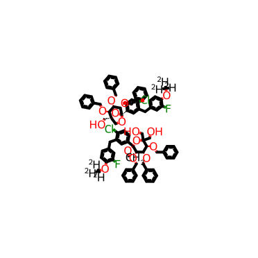 [2H]C([2H])([2H])Oc1ccc(Cc2cc([C@]3(OC)OC(CO)(CO)[C@@H](OCc4ccccc4)[C@H](OCc4ccccc4)[C@H]3OCc3ccccc3)ccc2Cl)cc1F.[2H]C([2H])([2H])Oc1ccc(Cc2cc([C@]34OC[C@](CO)(O3)[C@@H](OCc3ccccc3)[C@H](OCc3ccccc3)[C@H]4OCc3ccccc3)ccc2Cl)cc1F